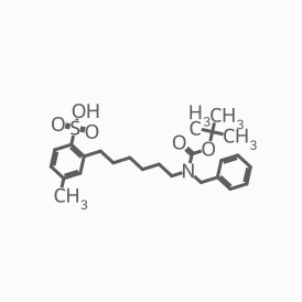 Cc1ccc(S(=O)(=O)O)c(CCCCCCN(Cc2ccccc2)C(=O)OC(C)(C)C)c1